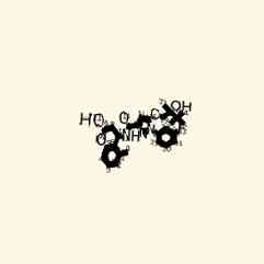 Cc1ccccc1C(CC(=O)O)NC(=O)c1cc(OCC(C)(O)C(C)(C)C)n(-c2cccc(F)c2)n1